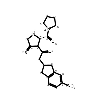 O=C(CC1Cc2ccc([N+](=O)[O-])cc2C1)C1C(=S)CN[C@@H]1C(=O)N1CCCC1